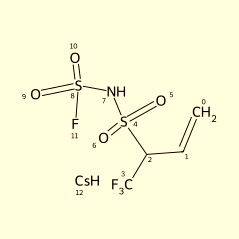 C=CC(C(F)(F)F)S(=O)(=O)NS(=O)(=O)F.[CsH]